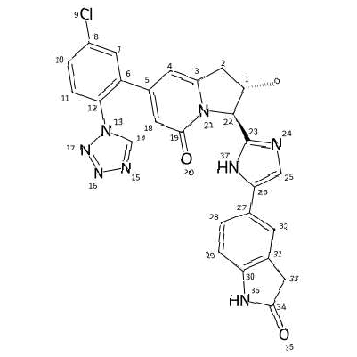 C[C@H]1Cc2cc(-c3cc(Cl)ccc3-n3cnnn3)cc(=O)n2[C@@H]1c1ncc(-c2ccc3c(c2)CC(=O)N3)[nH]1